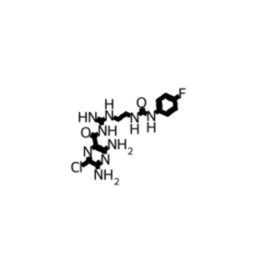 N=C(NCCNC(=O)Nc1ccc(F)cc1)NC(=O)c1nc(Cl)c(N)nc1N